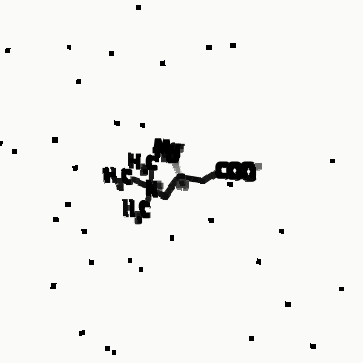 C[N+](C)(C)C[C@H](O)CC(=O)[O-].[Mg]